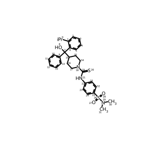 CC(C)c1ccccc1C(O)(c1ccccc1)C1CCN(C(=S)Nc2ccc(S(=O)(=O)N(C)C)cc2)CC1